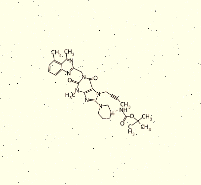 CC#CCn1c(N2CCC[C@@H](NC(=O)OC(C)(C)C)C2)nc2c1c(=O)n(Cc1nc(C)c3c(C)cccc3n1)c(=O)n2C